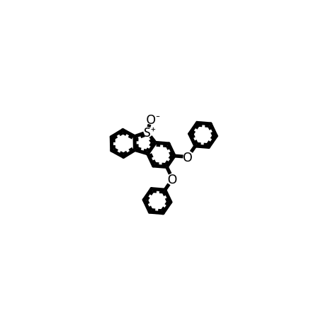 [O-][s+]1c2ccccc2c2cc(Oc3ccccc3)c(Oc3ccccc3)cc21